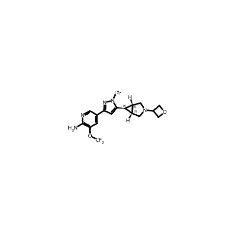 CC(C)n1nc(-c2cnc(N)c(OC(F)(F)F)c2)cc1[C@H]1[C@@H]2CN(C3COC3)C[C@@H]21